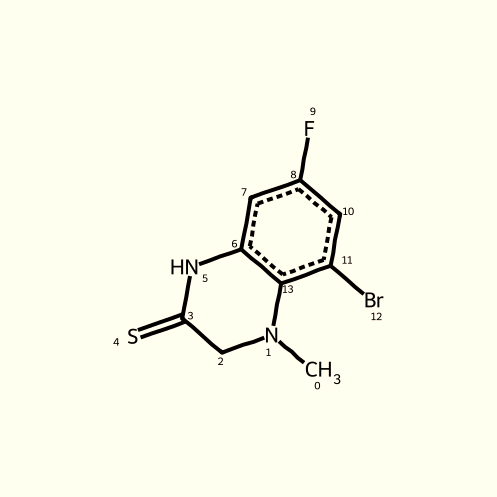 CN1CC(=S)Nc2cc(F)cc(Br)c21